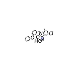 Cc1cc(Cl)cc2c1N(Cc1cccc(Oc3ccccc3)c1)C(=O)/C2=N\O